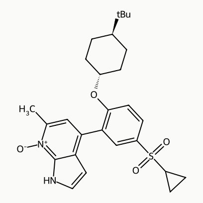 Cc1cc(-c2cc(S(=O)(=O)C3CC3)ccc2O[C@H]2CC[C@H](C(C)(C)C)CC2)c2cc[nH]c2[n+]1[O-]